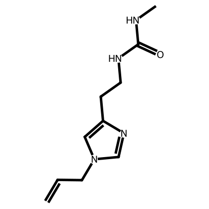 C=CCn1cnc(CCNC(=O)NC)c1